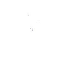 CCC(=O)ON=Cc1ccccc1C